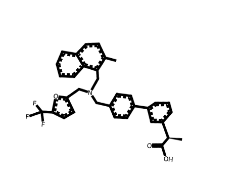 Cc1ccc2ccccc2c1CN(Cc1ccc(-c2cccc([C@@H](C)C(=O)O)c2)cc1)Cc1ccc(C(F)(F)F)o1